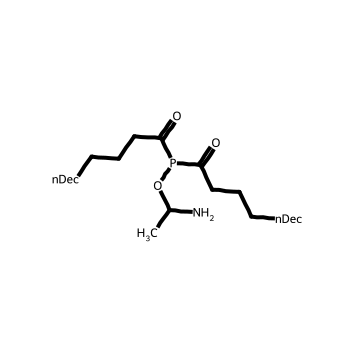 CCCCCCCCCCCCCC(=O)P(OC(C)N)C(=O)CCCCCCCCCCCCC